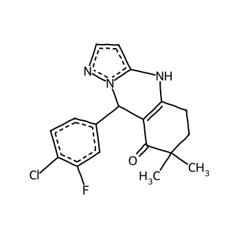 CC1(C)CCC2=C(C1=O)C(c1ccc(Cl)c(F)c1)n1nccc1N2